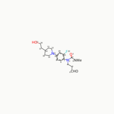 CNC(=O)N(CCC=O)c1ccc(N2CCC(CCO)CC2)cc1F